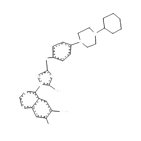 COc1cc2c(-n3nc(Nc4ccc(N5CCN(C6CCCCC6)CC5)cc4)nc3N)ncnc2cc1O